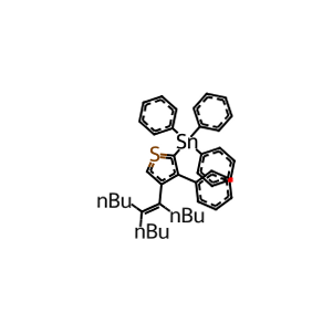 CCCCC(CCCC)=C(CCCC)c1cs[c]([Sn]([c]2ccccc2)([c]2ccccc2)[c]2ccccc2)c1-c1ccccc1